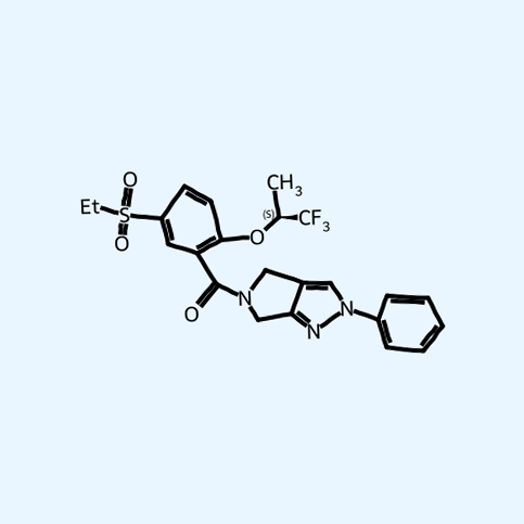 CCS(=O)(=O)c1ccc(O[C@@H](C)C(F)(F)F)c(C(=O)N2Cc3cn(-c4ccccc4)nc3C2)c1